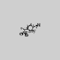 CC(c1ccc(C#N)c(F)c1)[N+](=O)[O-]